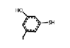 Oc1cc(S)cc(I)c1